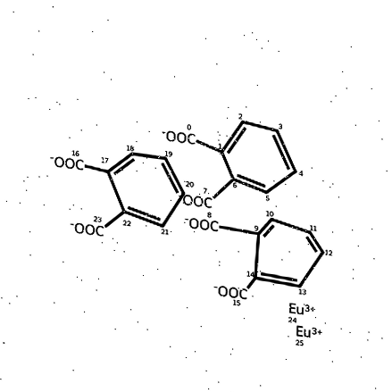 O=C([O-])c1ccccc1C(=O)[O-].O=C([O-])c1ccccc1C(=O)[O-].O=C([O-])c1ccccc1C(=O)[O-].[Eu+3].[Eu+3]